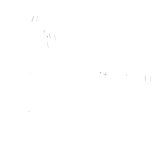 CC(C)C[C@H]1C(=O)NC(C(=O)O)Cc2ccc(cc2)OCCCC1C(=O)NO